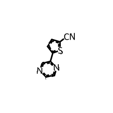 N#Cc1ccc(-c2cn[c]cn2)s1